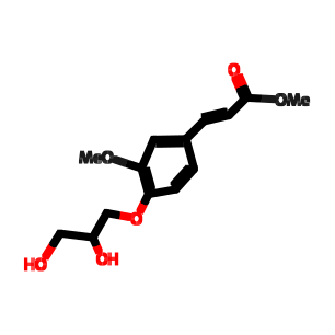 COC(=O)C=Cc1ccc(OCC(O)CO)c(OC)c1